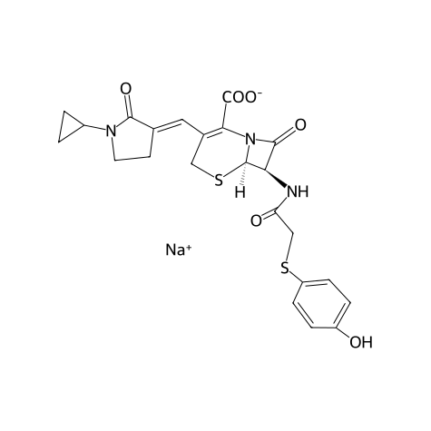 O=C(CSc1ccc(O)cc1)N[C@@H]1C(=O)N2C(C(=O)[O-])=C(/C=C3\CCN(C4CC4)C3=O)CS[C@H]12.[Na+]